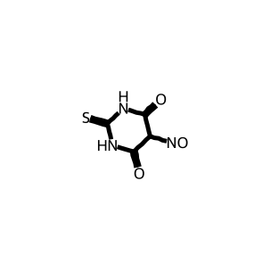 O=NC1C(=O)NC(=S)NC1=O